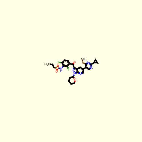 CCCS(=O)(=O)Nc1c(F)ccc(C(=O)c2nn(C3CCCCO3)c3ncc(-c4cnc(C5CC5)nc4SC)cc23)c1F